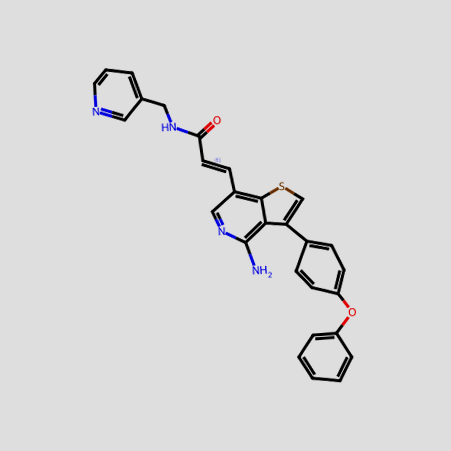 Nc1ncc(/C=C/C(=O)NCc2cccnc2)c2scc(-c3ccc(Oc4ccccc4)cc3)c12